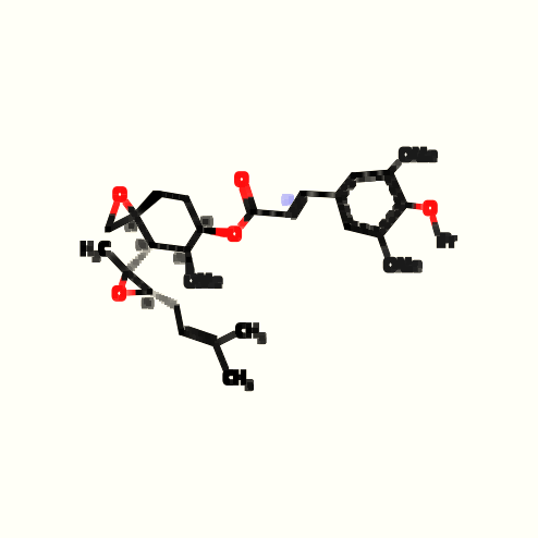 COc1cc(/C=C/C(=O)O[C@@H]2CC[C@]3(CO3)[C@@H](C3(C)O[C@H]3CC=C(C)C)[C@@H]2OC)cc(OC)c1OC(C)C